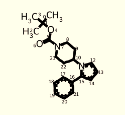 CC(C)(C)OC(=O)N1CCC(n2cccc2-c2ccccc2)CC1